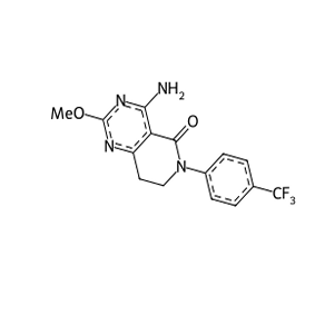 COc1nc(N)c2c(n1)CCN(c1ccc(C(F)(F)F)cc1)C2=O